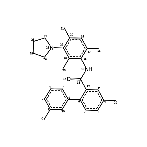 Cc1cccc(-c2ccc(C)cc2C(=O)Nc2c(C)cc(C)c(N3CCCC3)c2C)c1